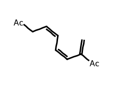 C=C(/C=C\C=C/CC(C)=O)C(C)=O